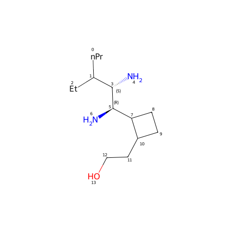 CCCC(CC)[C@H](N)[C@H](N)C1CCC1CCO